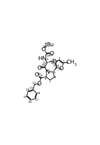 Cc1ccc([C@H]2CC[C@@H](C(=O)OCc3ccccc3)N2C(=O)[C@@H](NC(=O)OC(C)(C)C)C(C)C)o1